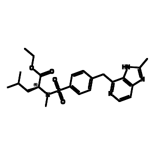 CCOC(=O)[C@H](CC(C)C)N(C)S(=O)(=O)c1ccc(Cc2nccc3nc(C)[nH]c23)cc1